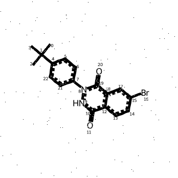 CC(C)(C)c1ccc(-n2[nH]c(=O)c3ccc(Br)cc3c2=O)cc1